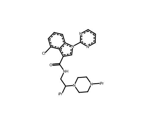 CC(C)C(CNC(=O)c1cn(-c2ncccn2)c2cccc(Cl)c12)N1CCN(C(C)C)CC1